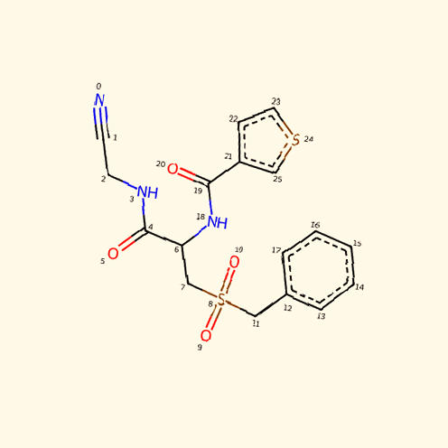 N#CCNC(=O)C(CS(=O)(=O)Cc1ccccc1)NC(=O)c1ccsc1